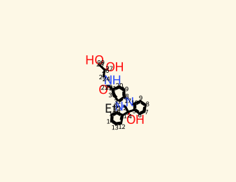 CCn1c(C(O)(c2ccccc2)c2ccccc2)nc2ccc(C(=O)NC[C@H](O)CO)cc21